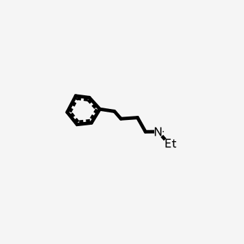 CC[N]CCCCc1ccccc1